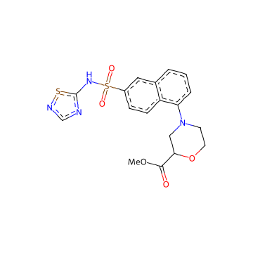 COC(=O)C1CN(c2cccc3cc(S(=O)(=O)Nc4ncns4)ccc23)CCO1